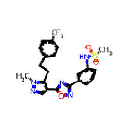 Cn1ncc(-c2nc(-c3cccc(NS(C)(=O)=O)c3)no2)c1CCc1ccc(C(F)(F)F)cc1